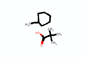 CC(C)(C)C(=O)O.CC1CCCCC1